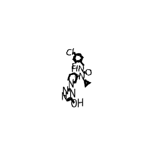 O=C(NCc1ccc(Cl)cc1F)N(C1CC1)[C@@H]1CCCN(c2nncc(O)n2)C1